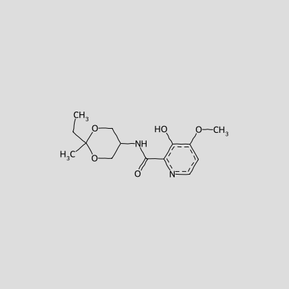 CCC1(C)OCC(NC(=O)c2nccc(OC)c2O)CO1